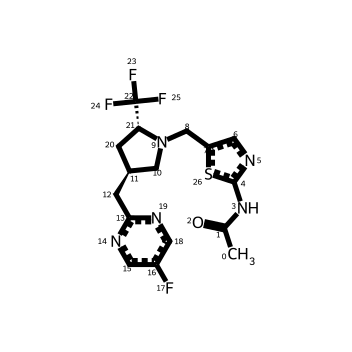 CC(=O)Nc1ncc(CN2C[C@@H](Cc3ncc(F)cn3)C[C@@H]2C(F)(F)F)s1